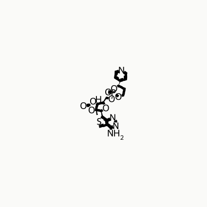 C[C@@]12OC(=O)O[C@@H]1[C@@H](CO[P@@]1(=O)OCC[C@@H](c3ccncc3)O1)O[C@H]2c1scc2c(N)ncnc12